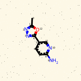 Cc1nnc(-c2ccc(N)nc2)o1